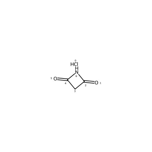 Cl.O=C1CC(=O)N1